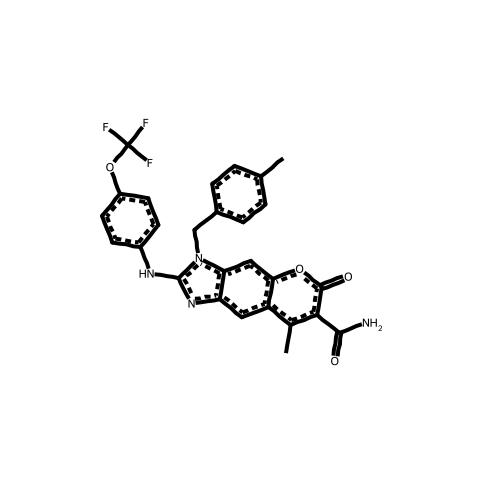 Cc1ccc(Cn2c(Nc3ccc(OC(F)(F)F)cc3)nc3cc4c(C)c(C(N)=O)c(=O)oc4cc32)cc1